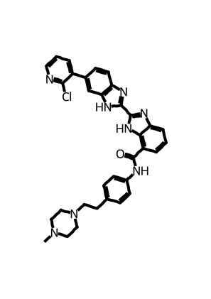 CN1CCN(CCc2ccc(NC(=O)c3cccc4nc(-c5nc6ccc(-c7cccnc7Cl)cc6[nH]5)[nH]c34)cc2)CC1